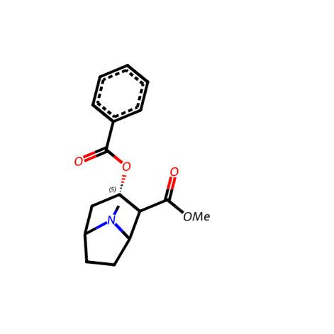 COC(=O)C1C2CCC(C[C@@H]1OC(=O)c1ccccc1)N2C